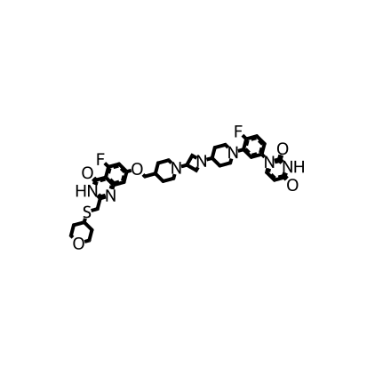 O=c1ccn(-c2ccc(F)c(N3CCC(N4CC(N5CCC(COc6cc(F)c7c(=O)[nH]c(CSC8CCOCC8)nc7c6)CC5)C4)CC3)c2)c(=O)[nH]1